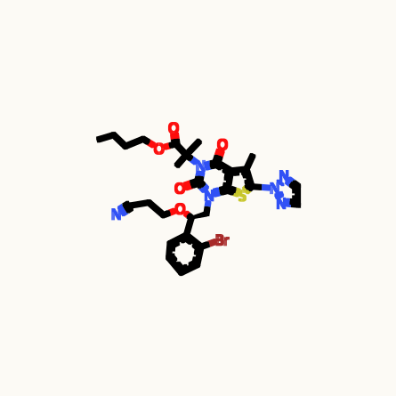 CCCCOC(=O)C(C)(C)n1c(=O)c2c(C)c(-n3nccn3)sc2n(C[C@H](OCCC#N)c2ccccc2Br)c1=O